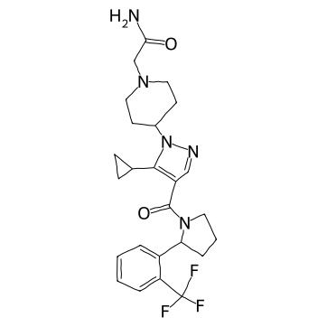 NC(=O)CN1CCC(n2ncc(C(=O)N3CCCC3c3ccccc3C(F)(F)F)c2C2CC2)CC1